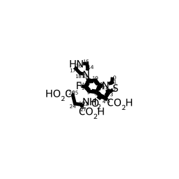 CC1Sc2c(C(=O)O)c(=O)c3cc(F)c(N4CCNCC4)cc3n21.NC(CCC(=O)O)C(=O)O